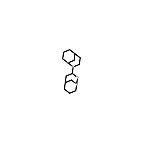 C1CC2C[C](N3CCC4CCCN3C4)ON(C1)C2